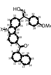 CCn1c2ccc(C(=O)c3cccc4ccccc34)cc2c2cc(/C(=N\O)c3ccc(OC)cc3)ccc21